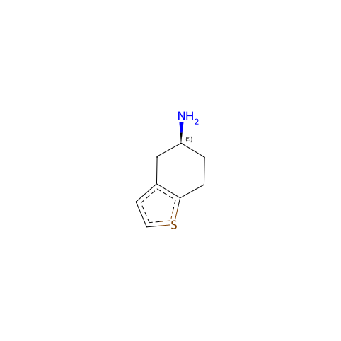 N[C@H]1CCc2sccc2C1